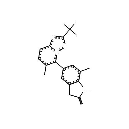 Cc1cc(-c2c(C)ccc3nc(C(F)(F)F)nn23)cc2c1NC(=O)C2